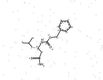 CC(C)C[C@@H](CC(N)=S)NC(=O)OCc1ccccc1